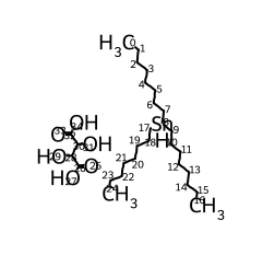 CCCCCCC[CH2][SnH]([CH2]CCCCCCC)[CH2]CCCCCCC.O=C(O)C(O)C(O)C(=O)O